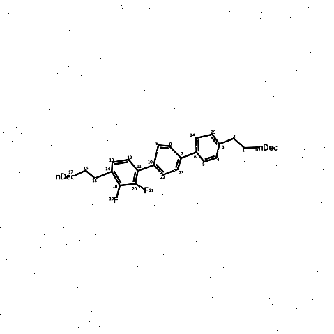 CCCCCCCCCCCCc1ccc(-c2ccc(-c3ccc(CCCCCCCCCCCC)c(F)c3F)cc2)cc1